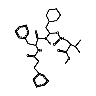 COC(=O)C(C[PH](=O)OC(CC1CCCCC1)N(I)C(=O)C(Cc1ccccc1)NC(=O)CCc1ccccc1)C(C)C